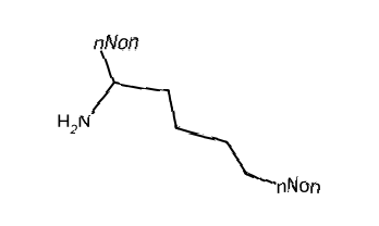 CCCCCCCCCCCCCC(N)CCCCCCCCC